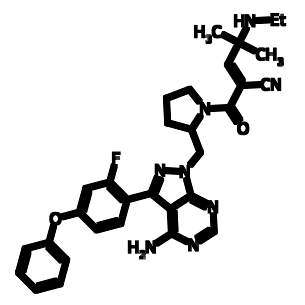 CCNC(C)(C)C=C(C#N)C(=O)N1CCCC1Cn1nc(-c2ccc(Oc3ccccc3)cc2F)c2c(N)ncnc21